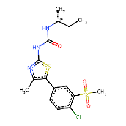 CC[C@@H](C)NC(=O)Nc1nc(C)c(-c2ccc(Cl)c(S(C)(=O)=O)c2)s1